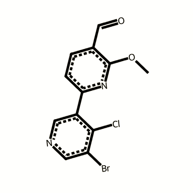 COc1nc(-c2cncc(Br)c2Cl)ccc1C=O